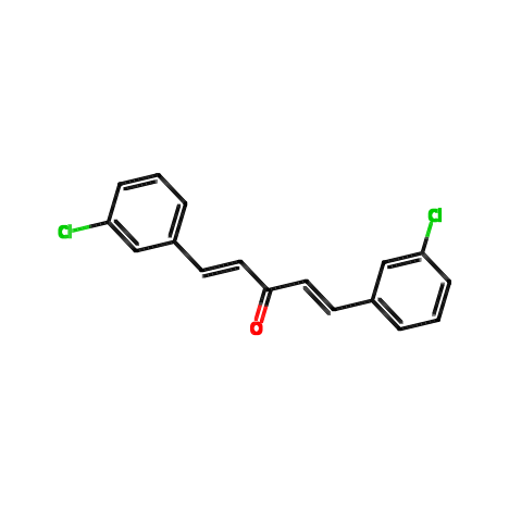 O=C(/C=C/c1cccc(Cl)c1)/C=C/c1cccc(Cl)c1